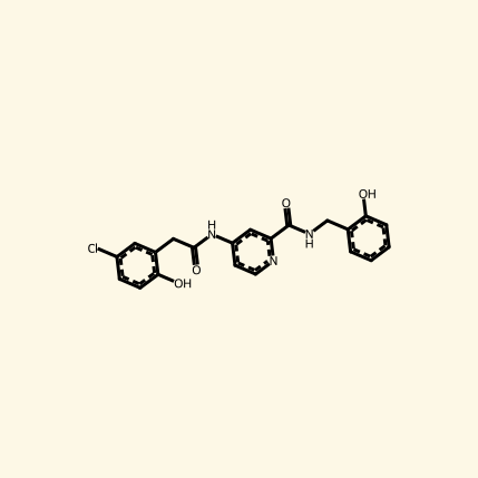 O=C(Cc1cc(Cl)ccc1O)Nc1ccnc(C(=O)NCc2ccccc2O)c1